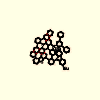 CC(C)(C)c1ccc2c3ccc(C(C)(C)C)cc3n(-c3cccc(-c4cccc5c4sc4ccccc45)c3-c3ccc4c(c3)C3c5ccc(-c6ccccc6)cc5N(c5c(-c6ccccc6)cccc5-c5ccccc5)c5cc(-c6ccccc6)cc(c53)N4c3cc(-c4ccccc4)cc(-c4ccccc4)c3)c2c1